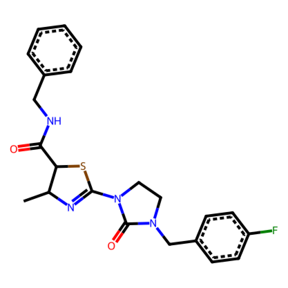 CC1N=C(N2CCN(Cc3ccc(F)cc3)C2=O)SC1C(=O)NCc1ccccc1